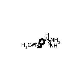 CCCn1ccc2cc(NC(N)N=N)ccc21